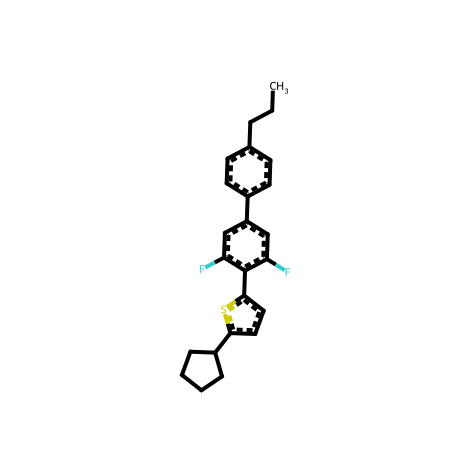 CCCc1ccc(-c2cc(F)c(-c3ccc(C4CCCC4)s3)c(F)c2)cc1